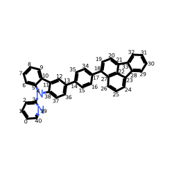 c1ccc(-n2c3ccccc3c3cc(-c4ccc(-c5ccc6c7c(cccc57)-c5ccccc5-6)cc4)ccc32)nc1